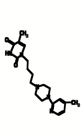 Cc1ccnc(N2CCN(CCCCn3cc(C)c(=O)[nH]c3=O)CC2)c1